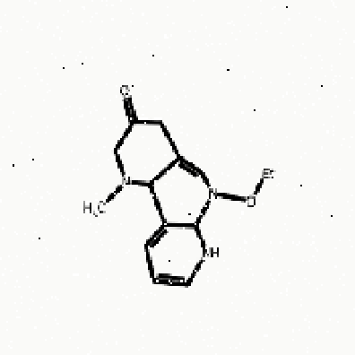 CCON1C=C2CC(=O)CN(C)C2C2=CC=CNC21